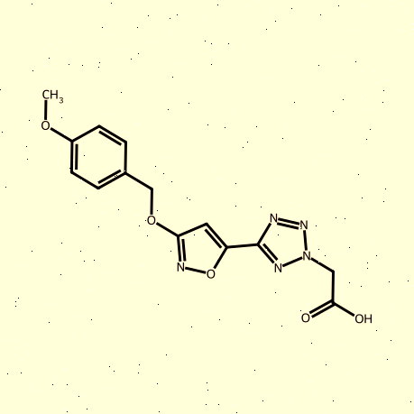 COc1ccc(COc2cc(-c3nnn(CC(=O)O)n3)on2)cc1